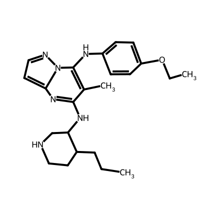 CCCC1CCNCC1Nc1nc2ccnn2c(Nc2ccc(OCC)cc2)c1C